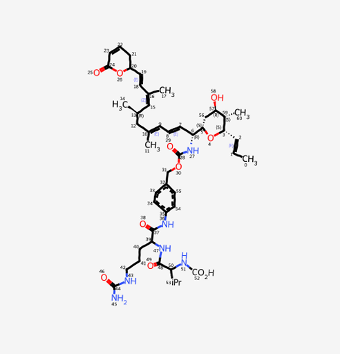 C/C=C/[C@@H]1O[C@H]([C@@H](/C=C/C=C(\C)C[C@@H](C)/C=C(C)\C=C\C2CC=CC(=O)O2)NC(=O)OCc2ccc(NC(=O)C(CCCNC(N)=O)NC(=O)C(NC(=O)O)C(C)C)cc2)C[C@@H](O)[C@@H]1C